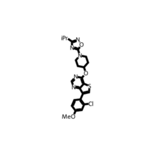 COc1ccc(-c2csc3c(OC4CCN(c5nc(C(C)C)no5)CC4)ncnc23)c(Cl)c1